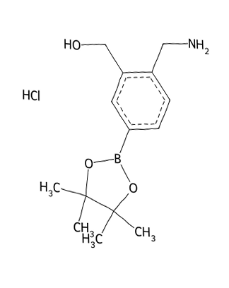 CC1(C)OB(c2ccc(CN)c(CO)c2)OC1(C)C.Cl